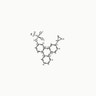 O=S(=O)(Oc1ccc2c3ccccc3c3ccc(C4CC4)cc3c2c1)C(F)(F)F